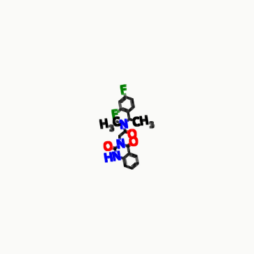 CC(c1ccc(F)cc1F)N(C)C(=O)Cn1c(=O)[nH]c2ccccc2c1=O